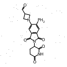 O=CC1CN(c2cc3c(cc2P)C(=O)N(C2CCC(=O)NC2=O)C3=O)C1